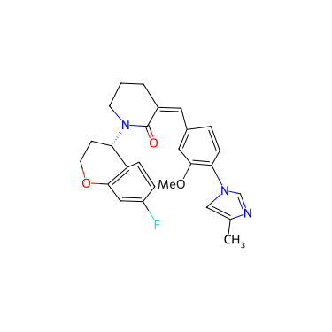 COc1cc(C=C2CCCN([C@H]3CCOc4cc(F)ccc43)C2=O)ccc1-n1cnc(C)c1